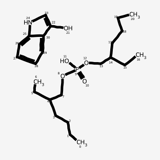 CCCCC(CC)COP(=O)(O)OCC(CC)CCCC.Oc1c[nH]c2ccccc12